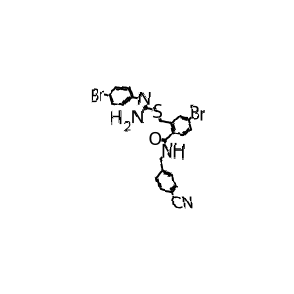 N#Cc1ccc(CNC(=O)c2ccc(Br)cc2CS/C(N)=N/c2ccc(Br)cc2)cc1